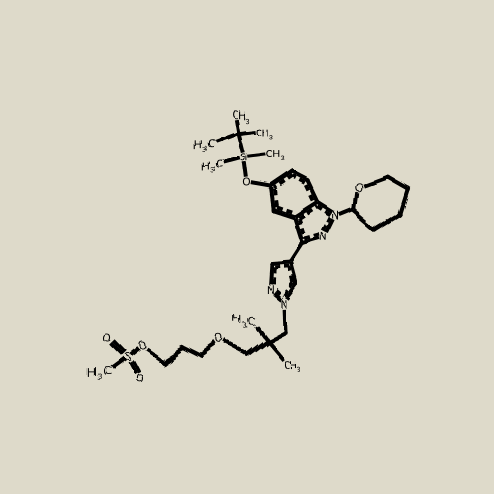 CC(C)(COCCCOS(C)(=O)=O)Cn1cc(-c2nn(C3CCCCO3)c3ccc(O[Si](C)(C)C(C)(C)C)cc23)cn1